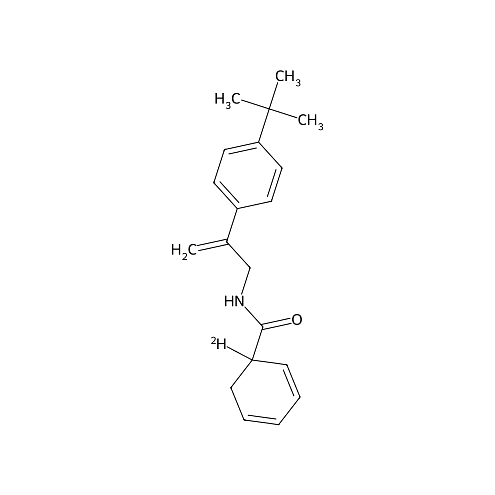 [2H]C1(C(=O)NCC(=C)c2ccc(C(C)(C)C)cc2)C=CC=CC1